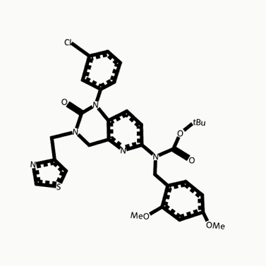 COc1ccc(CN(C(=O)OC(C)(C)C)c2ccc3c(n2)CN(Cc2cscn2)C(=O)N3c2cccc(Cl)c2)c(OC)c1